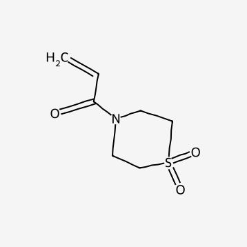 C=CC(=O)N1CCS(=O)(=O)CC1